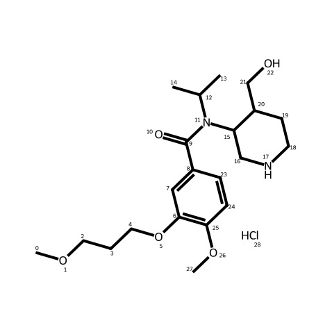 COCCCOc1cc(C(=O)N(C(C)C)C2CNCCC2CO)ccc1OC.Cl